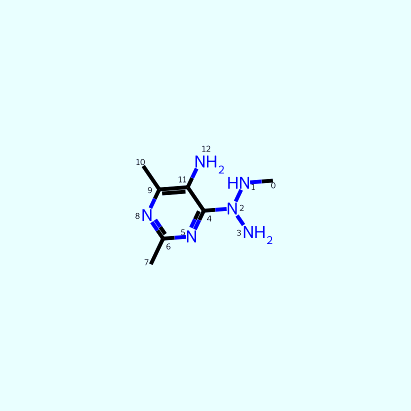 CNN(N)c1nc(C)nc(C)c1N